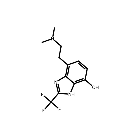 CN(C)CCc1ccc(O)c2[nH]c(C(F)(F)F)nc12